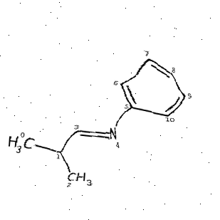 C[C](C)C=Nc1ccccc1